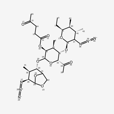 CC[C@@H]1O[C@H](O[C@H]2[C@H](C)[C@H](OC(=O)CCC(C)=O)C(O[C@@H]3C4COC(O4)[C@@H](N=[N+]=[N-])[C@H]3C)O[C@H]2C(C)=O)C(N=[N+]=[N-])[C@@H](C)[C@@H]1C